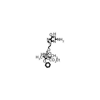 CCOC(=O)[C@@H](C)NP(=O)(COCCn1cnc2c(=O)[nH]c(N)nc21)NC(C)C(=O)Oc1ccccc1